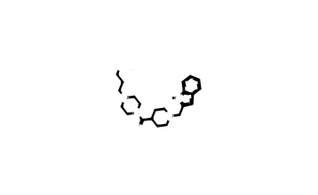 CCCCN1CCN(C(=O)C2CCN(Cc3cc4ccccc4n3C)CC2)CC1